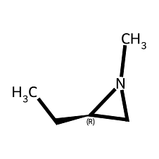 CC[C@@H]1CN1C